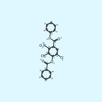 O=C(Oc1c(Cl)cc(C(=O)Oc2ccccc2)c([N+](=O)[O-])c1Cl)c1ccccc1